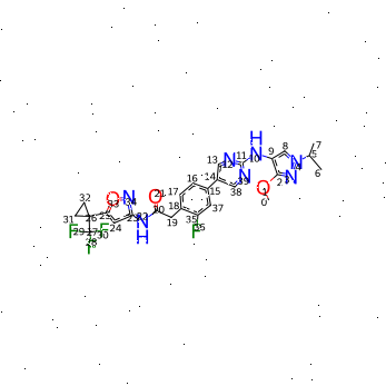 COc1nn(C(C)C)cc1Nc1ncc(-c2ccc(CC(=O)Nc3cc(C4(C(F)(F)F)CC4)on3)c(F)c2)cn1